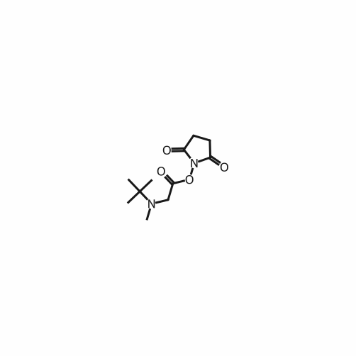 CN(CC(=O)ON1C(=O)CCC1=O)C(C)(C)C